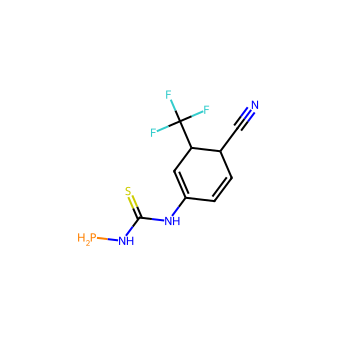 N#CC1C=CC(NC(=S)NP)=CC1C(F)(F)F